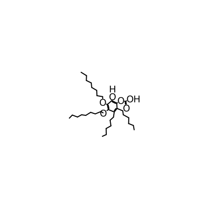 CCCCCCCCOc1c(O)c(OC(=O)O)c(CCCCCC)c(CCCCCC)c1OCCCCCCCC